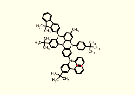 Cc1cc2c3c(c1)N(c1ccc4c(c1)C(C)(C)c1ccccc1-4)c1cc(C(C)(C)C)ccc1B3c1ccc(N(c3ccccc3)c3ccc(C(C)(C)C)cc3-c3ccccc3)cc1N2c1ccc(C(C)(C)C)cc1